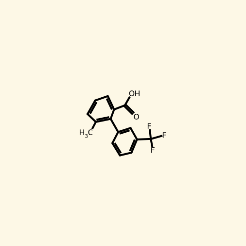 Cc1cccc(C(=O)O)c1-c1cccc(C(F)(F)F)c1